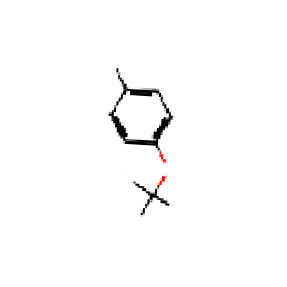 [2H]C([2H])([2H])Oc1ccc(C(C)(C)C)cc1